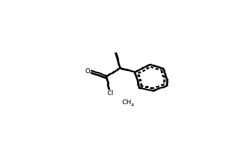 C.CC(C(=O)Cl)c1ccccc1